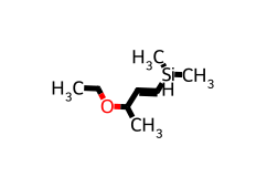 CCOC(C)C=C[SiH](C)C